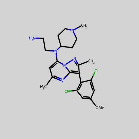 COc1cc(Cl)c(-c2c(C)nn3c(N(CCN)C4CCN(C)CC4)cc(C)nc23)c(Cl)c1